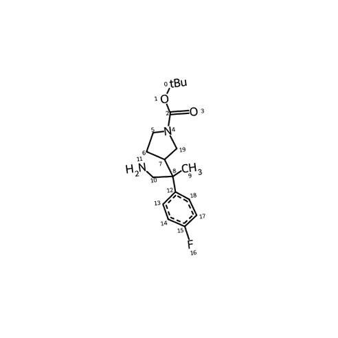 CC(C)(C)OC(=O)N1CCC(C(C)(CN)c2ccc(F)cc2)C1